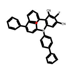 N#Cc1cc(N(c2ccc(-c3ccccc3)cc2)c2ccc(-c3ccccc3)cc2)c(-c2ccccc2)c(C#N)c1F